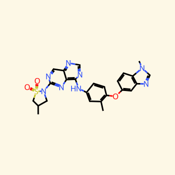 Cc1cc(Nc2ncnc3cnc(N4CC(C)CS4(=O)=O)nc23)ccc1Oc1ccc2c(c1)ncn2C